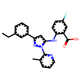 CCc1cccc(-c2cc(Nc3ccc(F)cc3C(=O)O)n(-c3ncccc3C)n2)c1